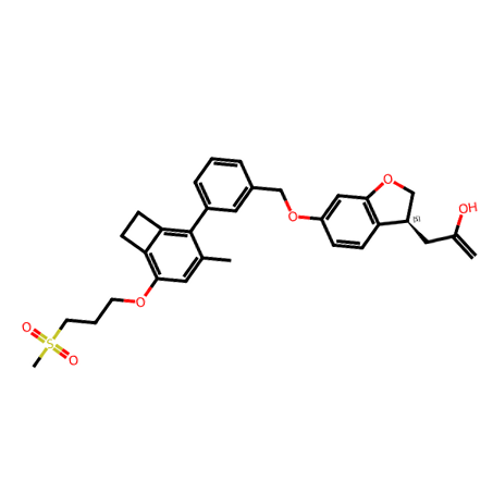 C=C(O)C[C@@H]1COc2cc(OCc3cccc(-c4c(C)cc(OCCCS(C)(=O)=O)c5c4CC5)c3)ccc21